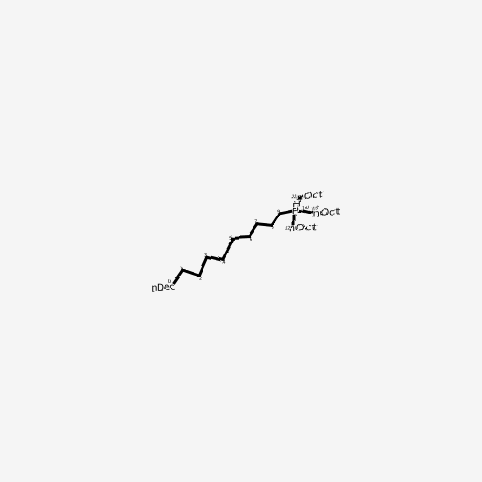 CCCCCCCCCCCCCCCCCCC[PH](CCCCCCCC)(CCCCCCCC)CCCCCCCC